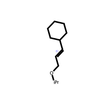 CC(C)OC/C=C/C1CCCCC1